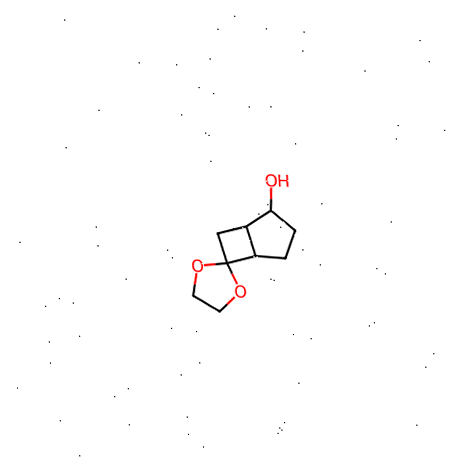 OC1CCC2C1CC21OCCO1